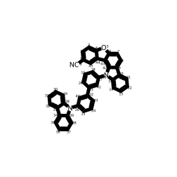 N#Cc1ccc2oc3ccc4c5ccccc5n(-c5cccc(-c6cccc(-n7c8ccccc8c8ccccc87)c6)c5)c4c3c2c1